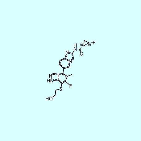 Cc1c(F)c(SCCO)c2[nH]ncc2c1-c1ccc2nc(NC(=O)[C@@H]3C[C@@H]3F)cn2c1